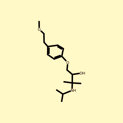 COCCc1ccc(OCC(O)C(C)(C)NC(C)C)cc1